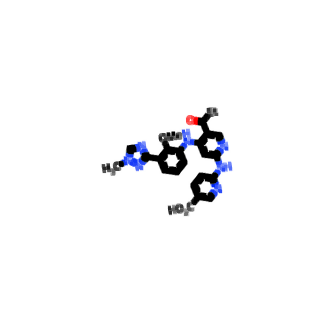 CCC(=O)c1cnc(Nc2ccc(C(=O)O)cn2)cc1Nc1cccc(-c2ncn(C)n2)c1OC